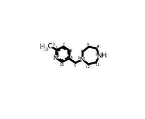 Cc1ccc(CN2CCCNCC2)cn1